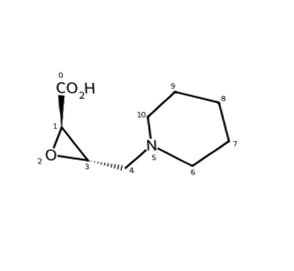 O=C(O)[C@@H]1O[C@H]1CN1CCCCC1